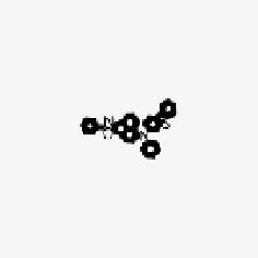 c1ccc(-c2nc3c(o2)-c2ccc(N(c4ccccc4)c4ccc5c(c4)sc4ccccc45)c4cccc-3c24)cc1